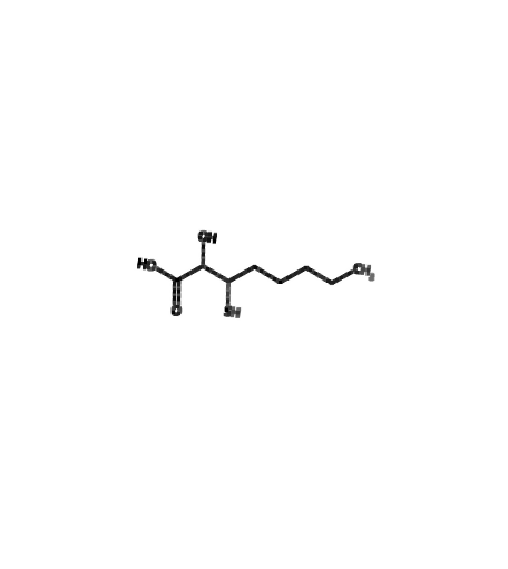 CCCCCC(S)C(O)C(=O)O